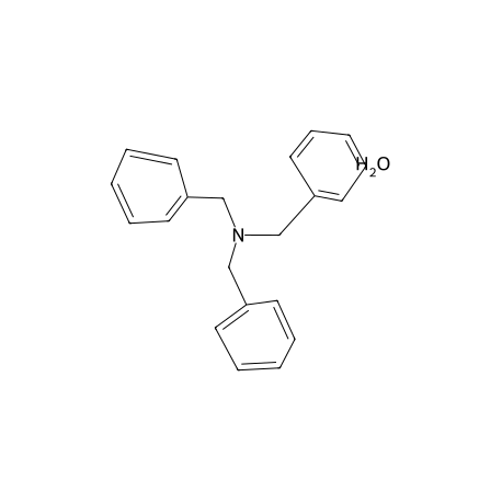 O.c1ccc(CN(Cc2ccccc2)Cc2ccccc2)cc1